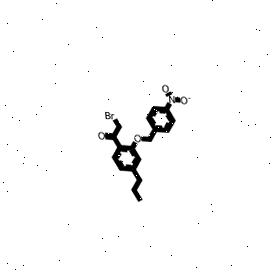 CCCc1ccc(C(=O)CBr)c(OCc2ccc([N+](=O)[O-])cc2)c1